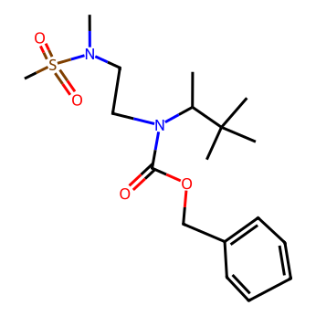 CC(N(CCN(C)S(C)(=O)=O)C(=O)OCc1ccccc1)C(C)(C)C